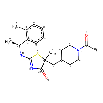 CCC(=O)N1CCC(CC2(C)SC(N[C@@H](C)c3ccccc3C(F)(F)F)=NC2=O)CC1